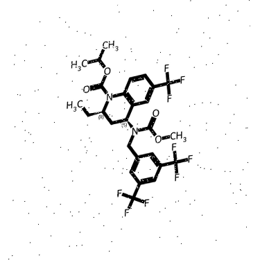 CC[C@@H]1C[C@H](N(Cc2cc(C(F)(F)F)cc(C(F)(F)F)c2)C(=O)OC)c2cc(C(F)(F)F)ccc2N1C(=O)OC(C)C